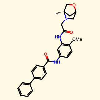 COc1ccc(NC(=O)c2ccc(-c3ccccc3)cc2)cc1NC(=O)CN1CC2C[C@@H]1CO2